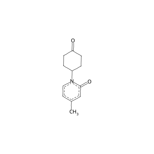 Cc1ccn(C2CCC(=O)CC2)c(=O)c1